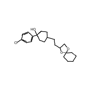 OC1(c2ccc(Cl)cc2)CCC(CCC2COC3(CCCCC3)O2)CC1